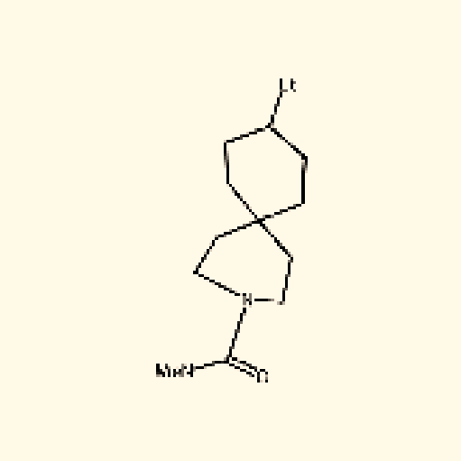 CCC1CCC2(CC1)CCN(C(=O)NC)CC2